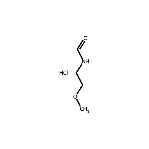 COCCNC=O.Cl